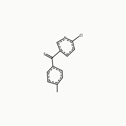 Cc1ccc(C(=S)c2ccc(Cl)nc2)cc1